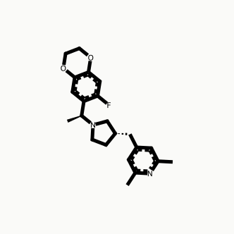 Cc1cc(C[C@@H]2CCN([C@@H](C)c3cc4c(cc3F)OCCO4)C2)cc(C)n1